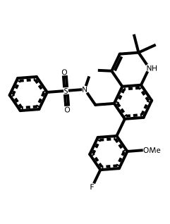 COc1cc(F)ccc1-c1ccc2c(c1CN(C)S(=O)(=O)c1ccccc1)C(C)=CC(C)(C)N2